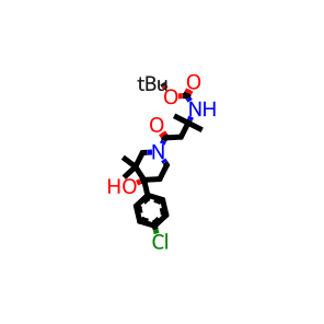 CC(C)(CC(=O)N1CCC(O)(c2ccc(Cl)cc2)C(C)(C)C1)NC(=O)OC(C)(C)C